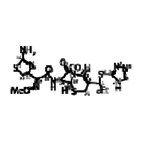 CCC(Sc1nnc[nH]1)C1=C(C(=O)O)N2C(=O)[C@@H](NC(=O)C(=NOC)c3csc(N)n3)[C@@H]2SC1